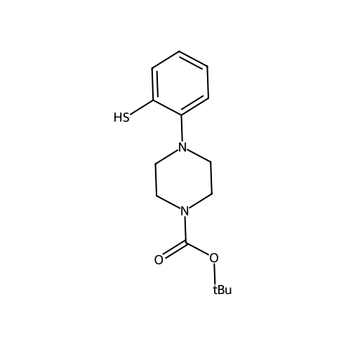 CC(C)(C)OC(=O)N1CCN(c2ccccc2S)CC1